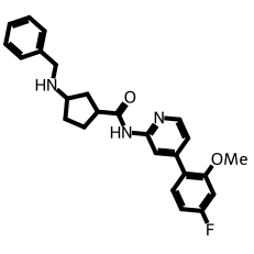 COc1cc(F)ccc1-c1ccnc(NC(=O)C2CCC(NCc3ccccc3)C2)c1